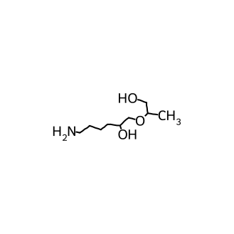 CC(CO)OCC(O)CCCCN